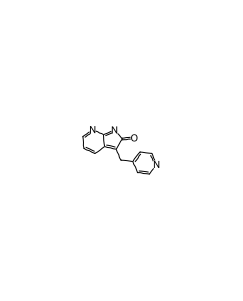 O=C1N=c2ncccc2=C1Cc1ccncc1